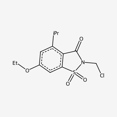 CCOc1cc(C(C)C)c2c(c1)S(=O)(=O)N(CCl)C2=O